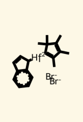 CC1=C(C)C(C)(C)[C]([Hf+2][CH]2C=Cc3ccccc32)=C1C.[Br-].[Br-]